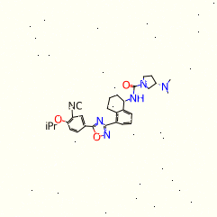 [C-]#[N+]c1cc(-c2nc(-c3cccc4c3CCC[C@H]4NC(=O)N3CC[C@H](N(C)C)C3)no2)ccc1OC(C)C